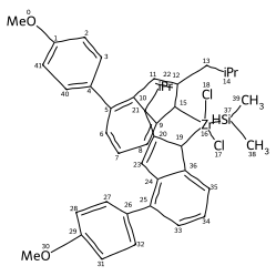 COc1ccc(-c2cccc3c2C=C(CC(C)C)[CH]3[Zr]([Cl])([Cl])([CH]2C(CC(C)C)=Cc3c(-c4ccc(OC)cc4)cccc32)[SiH](C)C)cc1